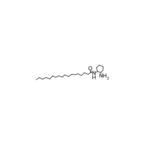 CCCCCCCCCCCCCCCCCC(=O)NC1CCCCC1N